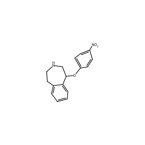 O=[N+]([O-])c1ccc(OC2CNCCc3ccccc32)cc1